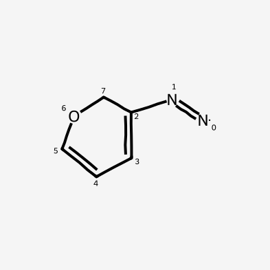 [N]=NC1=CC=COC1